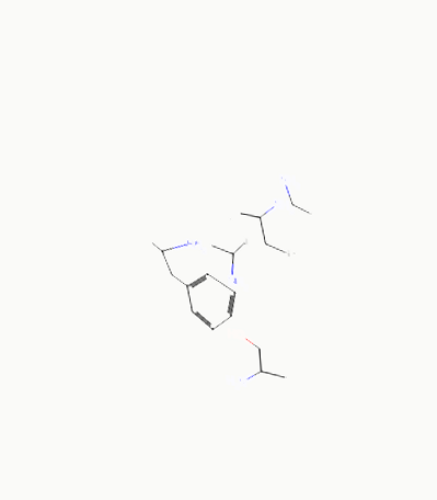 CC(C)C(N)C(=O)O.CC(C)CC(N)C(=O)O.NC(CO)C(=O)O.NC(Cc1ccccc1)C(=O)O.NCC(=O)O